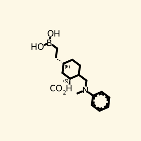 CN(CC1CC[C@@H](CCB(O)O)C[C@@H]1C(=O)O)c1ccccc1